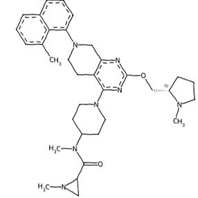 Cc1cccc2cccc(N3CCc4c(nc(OC[C@@H]5CCCN5C)nc4N4CCC(N(C)C(=O)C5CN5C)CC4)C3)c12